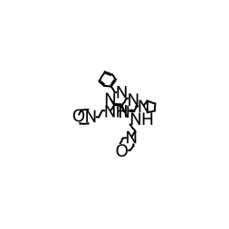 c1ccc(-c2nc(NCCN3CCOCC3)c3nc(NCCN4CCOCC4)c(N4CCCC4)nc3n2)cc1